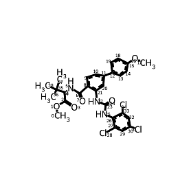 COC(=O)[C@@H](NC(=O)c1ccc(-c2ccc(OC)cc2)cc1NC(=O)Nc1c(Cl)cc(Cl)cc1Cl)C(C)(C)C